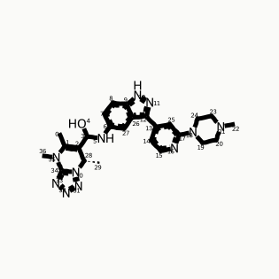 CC1=C(C(O)Nc2ccc3[nH]nc(-c4ccnc(N5CCN(C)CC5)c4)c3c2)[C@H](C)n2nnnc2N1C